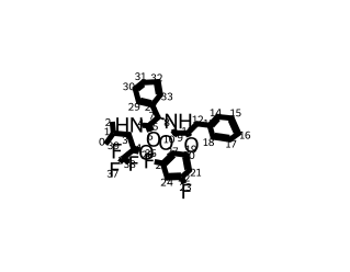 CC(C)[C@H](NC(=O)[C@@H](NC(=O)C(Cc1ccccc1)Oc1cc(F)cc(F)c1)c1ccccc1)C(=O)C(F)(F)F